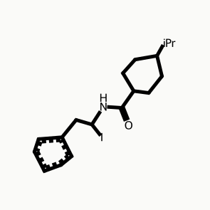 CC(C)C1CCC(C(=O)NC(I)Cc2ccccc2)CC1